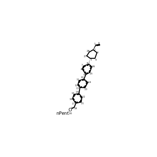 C=C[C@H]1CC[C@H](c2ccc(-c3ccc(-c4ccc(COCCCCC)cc4)cc3)cc2)CC1